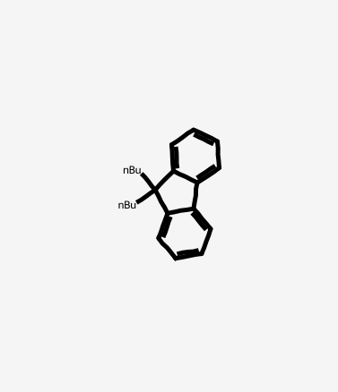 CCCCC1(CCCC)c2c[c]ccc2-c2ccccc21